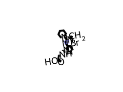 C=N/C(=N\c1c(Br)cnn1CNCC(=O)O)N1CCCCC1